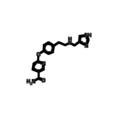 NC(=O)c1ccc(Oc2ccc(CCNCc3c[nH]cn3)cc2)nc1